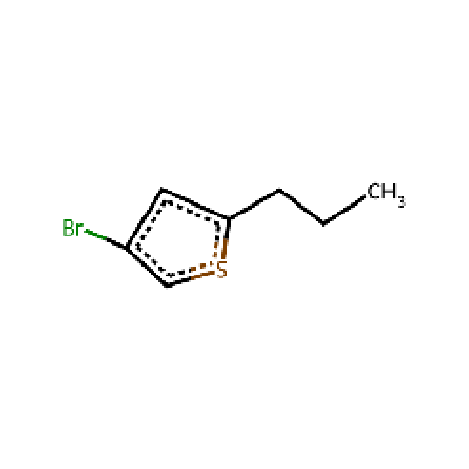 CCCc1cc(Br)cs1